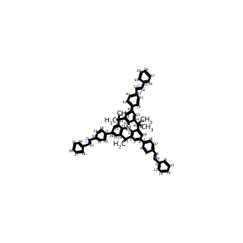 C=C1c2cc(-c3ccc(/C=C/c4ccccc4)cc3)cc3c2N2c4c1cc(-c1ccc(/C=C/c5ccccc5)cc1)cc4C(C)(C)c1cc(-c4ccc(/C=C/c5ccccc5)cc4)cc(c12)C3(C)C